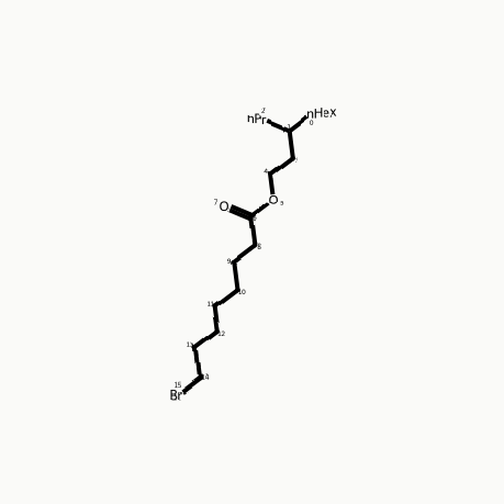 CCCCCCC(CCC)CCOC(=O)CCCCCCCBr